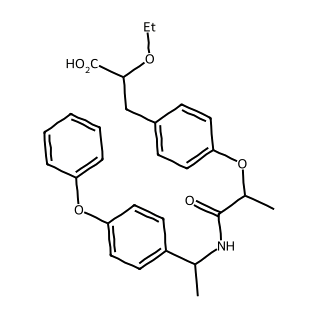 CCOC(Cc1ccc(OC(C)C(=O)NC(C)c2ccc(Oc3ccccc3)cc2)cc1)C(=O)O